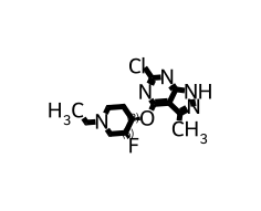 CCN1CC[C@@H](Oc2nc(Cl)nc3[nH]nc(C)c23)[C@@H](F)C1